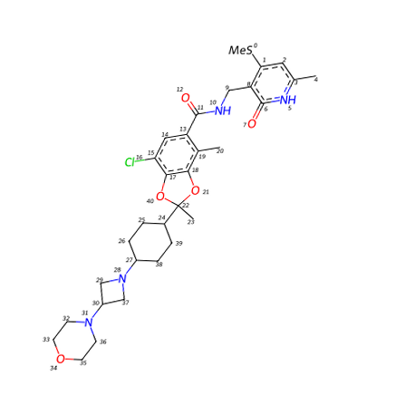 CSc1cc(C)[nH]c(=O)c1CNC(=O)c1cc(Cl)c2c(c1C)OC(C)(C1CCC(N3CC(N4CCOCC4)C3)CC1)O2